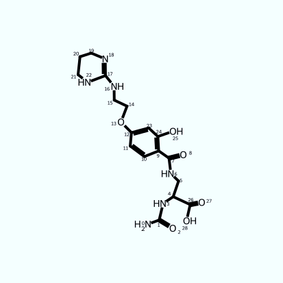 NC(=O)NC(CNC(=O)c1ccc(OCCNC2=NCCCN2)cc1O)C(=O)O